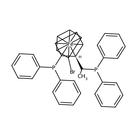 CC(P(c1ccccc1)c1ccccc1)[C@@]12[CH]3[CH]4[CH]5[C]1(P(c1ccccc1)c1ccccc1)[Fe]45321678[CH]2[CH]1[CH]6[C]7(Br)[CH]28